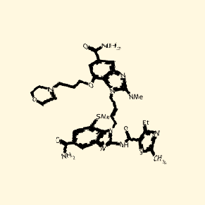 CCc1nc(C)sc1C(=O)Nc1nc2cc(C(N)=O)cc(SC)c2n1C/C=C/Cn1c(NC)nc2cc(C(N)=O)cc(OCCCN3CCOCC3)c21